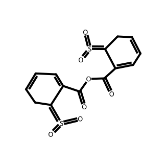 O=C(OC(=O)C1=CC=CCC1=S(=O)=O)C1=CC=CCC1=S(=O)=O